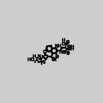 CCOc1c(CCC(P(=O)(O)O)P(=O)(O)O)c(N)c2ccccc2c1C(=O)C1C(=O)N2C1SC(C)(C)C2(N)C(=O)O